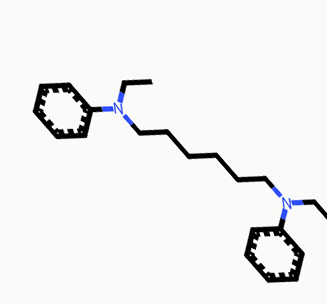 CCN(CCCCCCN(CC)c1ccccc1)c1ccccc1